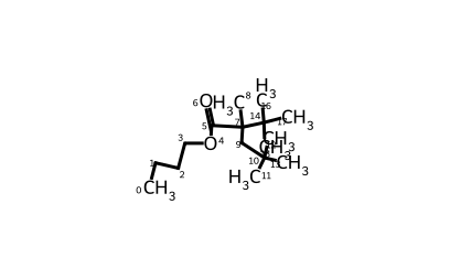 CCCCOC(=O)C(C)(CC(C)(C)C)C(C)(C)C